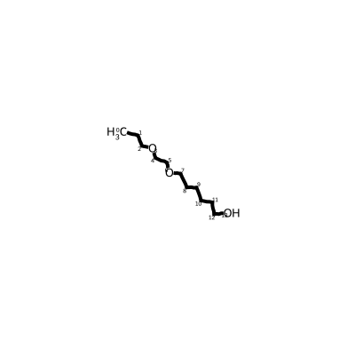 CCCOCCOCCCCCCO